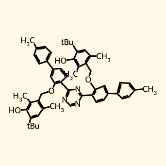 Cc1ccc(-c2ccc(-c3ncnc(-c4ccc(-c5ccc(C)cc5)cc4OCc4c(C)cc(C(C)(C)C)c(O)c4C)n3)c(OCc3c(C)cc(C(C)(C)C)c(O)c3C)c2)cc1